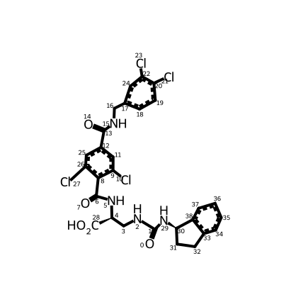 O=C(NC[C@H](NC(=O)c1c(Cl)cc(C(=O)NCc2ccc(Cl)c(Cl)c2)cc1Cl)C(=O)O)N[C@@H]1CCc2ccccc21